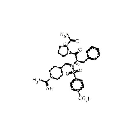 N=C(N)N1CCC(CN([C@H](Cc2ccccc2)C(=O)N2CCC[C@H]2C(N)=O)S(=O)(=O)c2ccc(C(=O)O)cc2)CC1